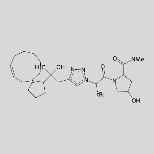 CNC(=O)C1CC(O)CN1C(=O)C(n1cc(CC(C)(O)C2CCCS23C/C=C\CCCCC3)nn1)C(C)(C)C